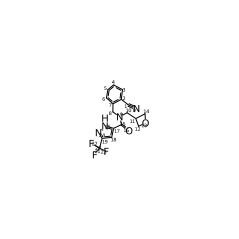 N#Cc1ccccc1CN(CC1COC1)C(=O)c1cc(C(F)(F)F)n[nH]1